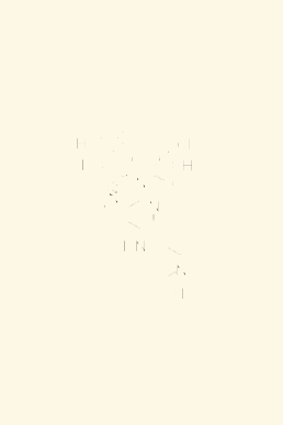 Cc1cc(Nc2cnc(N(C(=O)OC(C)(C)C)C(=O)OC(C)(C)C)c([N+](=O)[O-])c2)ccn1